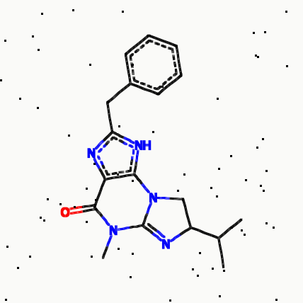 CC(C)C1CN2C(=N1)N(C)C(=O)c1nc(Cc3ccccc3)[nH]c12